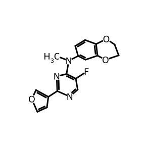 CN(c1ccc2c(c1)OCCO2)c1nc(-c2ccoc2)ncc1F